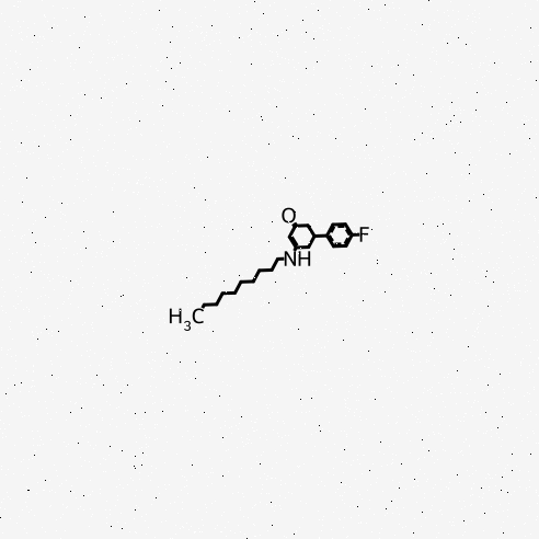 CCCCCCCCCCNC1=CC(=O)CC(c2ccc(F)cc2)C1